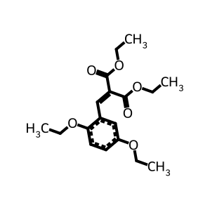 CCOC(=O)C(=Cc1cc(OCC)ccc1OCC)C(=O)OCC